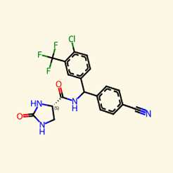 N#Cc1ccc(C(NC(=O)[C@@H]2CNC(=O)N2)c2ccc(Cl)c(C(F)(F)F)c2)cc1